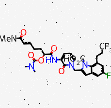 CNC(=O)C=CCCC(OC(=O)N(C)C)C(=O)Nc1cccn(Cc2cc3cc(F)cc(CCC(F)(F)F)c3n2C(=O)O)c1=O